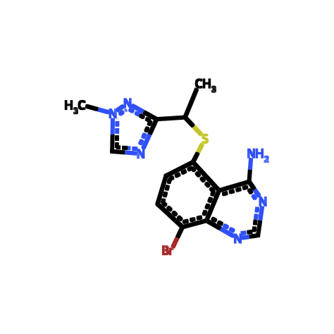 CC(Sc1ccc(Br)c2ncnc(N)c12)c1ncn(C)n1